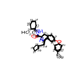 CC(C)(C)c1ccc(Oc2ccc3cc(C(=O)NC4(C(=O)O)CCCCC4)nc(CC4CCCC4)c3c2)cc1